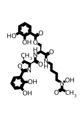 CC(=O)N(O)CCCCNC(=O)[C@H](COC(=O)c1cccc(O)c1O)NC(=O)[C@H]1N=C(c2cccc(O)c2O)O[C@@H]1C